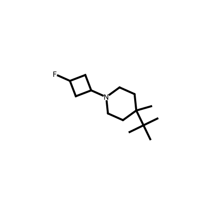 CC(C)(C)C1(C)CCN(C2CC(F)C2)CC1